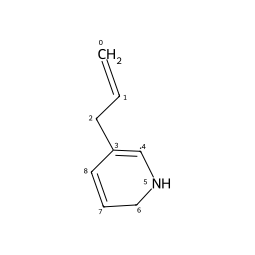 C=CCC1=[C]NCC=C1